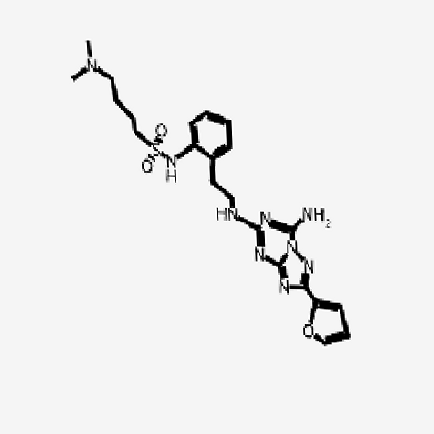 CN(C)CCCCS(=O)(=O)Nc1ccccc1CCNc1nc(N)n2nc(-c3ccco3)nc2n1